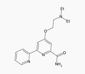 CCN(CC)CCOc1cc(C(N)=O)nc(-c2ccccn2)c1